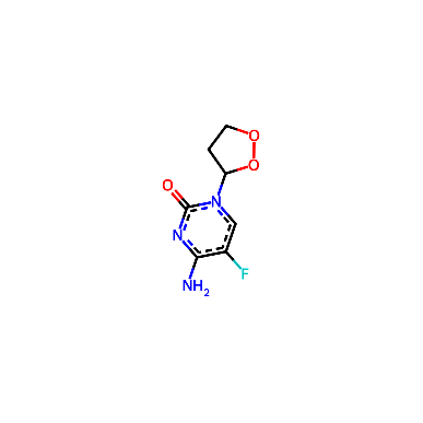 Nc1nc(=O)n(C2CCOO2)cc1F